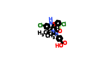 CC(C)(C)C[C@@H]1N2CN(c3ccc(C(=O)O)cc3)C(=O)[C@H]2[C@H](c2cccc(Cl)c2F)[C@]12C(=O)Nc1cc(Cl)ccc12